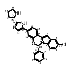 Clc1ccc2c(c1)cc1n2[C@H](c2ccccc2)Oc2cc(-c3cnc([C@@H]4CCCN4)[nH]3)ccc2-1